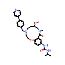 COC1CCN(Cc2ccc(-c3ccncc3)cc2)CCOc2ccc(NC(=O)NC(C)C)cc2C(=O)N(C)C1